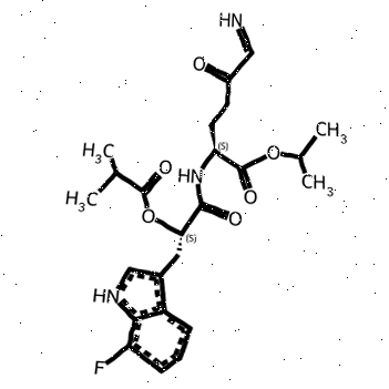 CC(C)OC(=O)[C@H](CCC(=O)C=N)NC(=O)[C@H](Cc1c[nH]c2c(F)cccc12)OC(=O)C(C)C